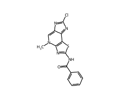 Cn1cc2nc(Cl)nc-2c2sc(NC(=O)c3ccccc3)nc21